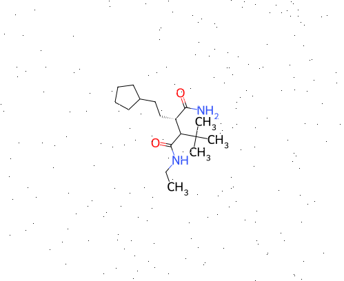 CCNC(=O)C([C@H](CCC1CCCC1)C(N)=O)C(C)(C)C